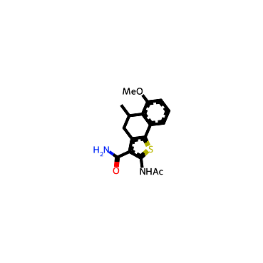 COc1cccc2c1C(C)Cc1c-2sc(NC(C)=O)c1C(N)=O